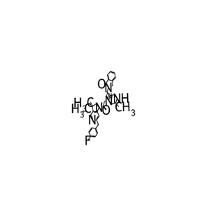 CC1CN(CC(=O)N2CC(C)(C)c3cnc(Cc4ccc(F)cc4)cc32)[C@@H](CN2Cc3ccccc3C2=O)CN1